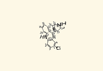 Clc1ccc2c(c1)N=C(N1CC3CC1CN3)c1ccccc1N2